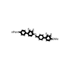 CCCCCc1ccc(-c2ccc(OCC3CCC(c4ccc(OC)c(F)c4F)CC3)c(F)c2F)cc1